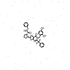 COc1ccc(Cn2c(C(F)(F)c3ccccc3)nc3sc(N4CCC[C@@H]4C(=O)NCc4ccccc4)nc3c2=O)c(OC)c1